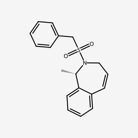 C[C@H]1c2ccccc2C=CCN1S(=O)(=O)Cc1ccccc1